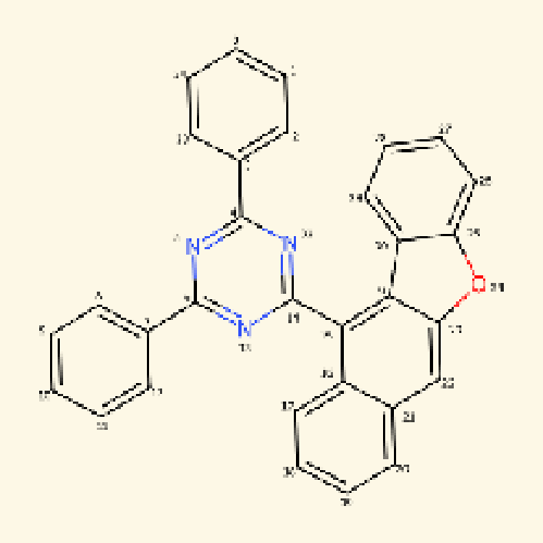 c1ccc(-c2nc(-c3ccccc3)nc(-c3c4ccccc4cc4oc5ccccc5c34)n2)cc1